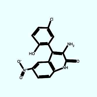 Nc1c(-c2cc(Cl)ccc2O)c2cc([N+](=O)[O-])ccc2[nH]c1=O